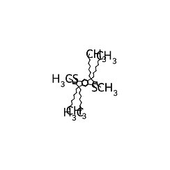 CCCCCCCCC1(CCCCCCCC)c2cc3c(cc2-c2sc(C)cc21)C(CCCCCCCC)(CCCCCCCC)c1cc(C)sc1-3